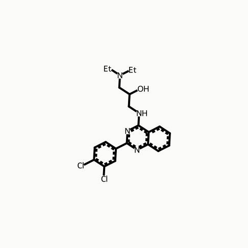 CCN(CC)CC(O)CNc1nc(-c2ccc(Cl)c(Cl)c2)nc2ccccc12